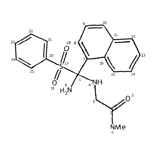 CNC(=O)CNC(N)(c1cccc2ccccc12)S(=O)(=O)c1ccccc1